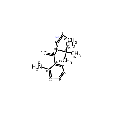 C/C=C\N(C(=O)c1ccccc1N)C(C)(C)C